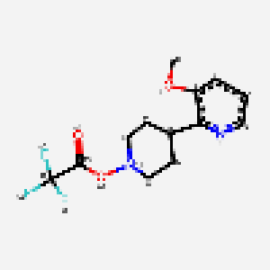 COc1cccnc1C1CCN(OC(=O)C(F)(F)F)CC1